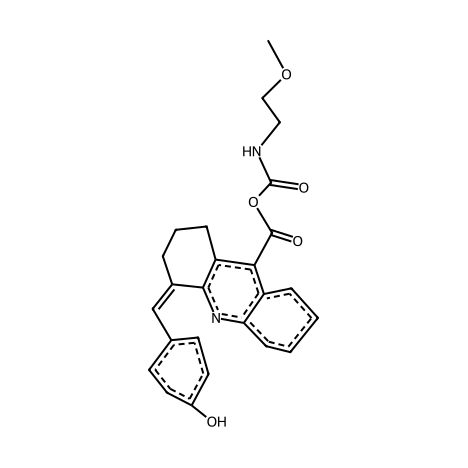 COCCNC(=O)OC(=O)c1c2c(nc3ccccc13)/C(=C\c1ccc(O)cc1)CCC2